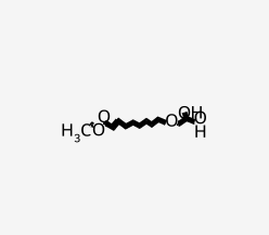 CCOC(=O)C=CCCCCCCCOCC(O)CO